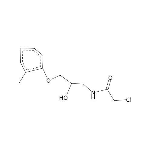 Cc1ccccc1OCC(O)CNC(=O)CCl